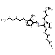 CCCCCCn1ncc(/N=N/c2n(CCCN)cc[n+]2CCCCC)c1N